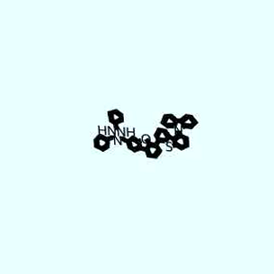 c1ccc(C2=NC(c3ccc4c(c3)oc3c(-c5cccc6c5sc5cccc(-n7c8ccccc8c8ccccc87)c56)cccc34)NC(c3ccccc3)N2)cc1